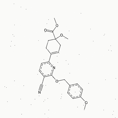 COC(=O)C1(OC)CC=C(c2ccc(C#N)c(OCc3ccc(OC)cc3)n2)CC1